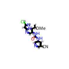 COC(C)c1c(NC(=O)Nc2cncc(C#N)c2)cnc2cc(Cl)nn12